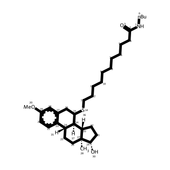 CCCCNC(=O)CCCCCCCCCCSC1Cc2cc(OC)ccc2[C@H]2CC[C@]3(C)[C@@H](O)CC[C@H]3[C@H]12